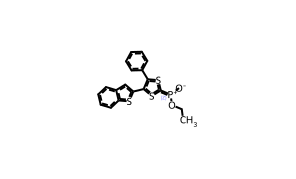 CCO/[P+]([O-])=c1/sc(-c2ccccc2)c(-c2cc3ccccc3s2)s1